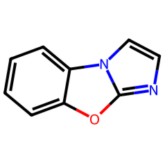 c1ccc2c(c1)oc1nccn12